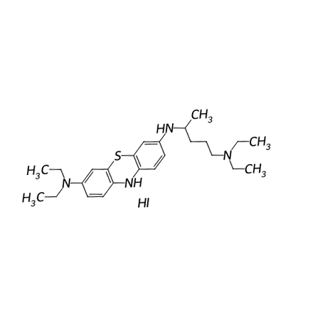 CCN(CC)CCCC(C)Nc1ccc2c(c1)Sc1cc(N(CC)CC)ccc1N2.I